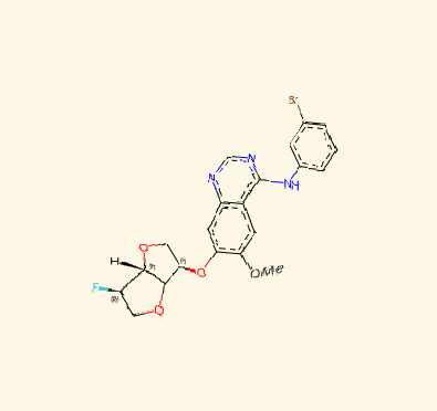 COc1cc2c(Nc3cccc(Br)c3)ncnc2cc1O[C@@H]1CO[C@@H]2C1OC[C@H]2F